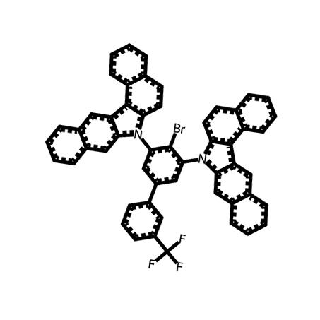 FC(F)(F)c1cccc(-c2cc(-n3c4cc5ccccc5cc4c4c5ccccc5ccc43)c(Br)c(-n3c4cc5ccccc5cc4c4c5ccccc5ccc43)c2)c1